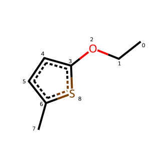 CCOc1ccc(C)s1